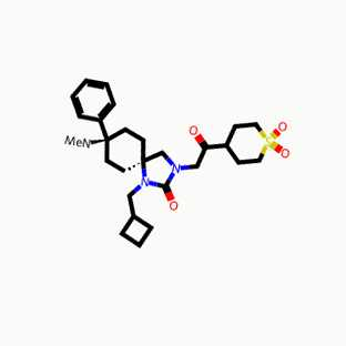 CN[C@]1(c2ccccc2)CC[C@]2(CC1)CN(CC(=O)C1CCS(=O)(=O)CC1)C(=O)N2CC1CCC1